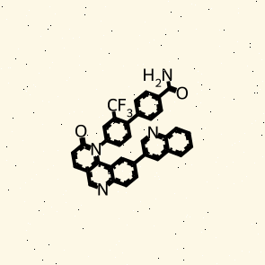 NC(=O)c1ccc(-c2ccc(-n3c(=O)ccc4cnc5ccc(-c6cnc7ccccc7c6)cc5c43)cc2C(F)(F)F)cc1